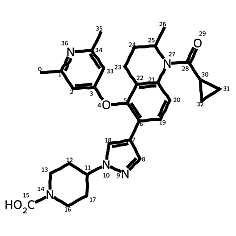 Cc1cc(Oc2c(-c3cnn(C4CCN(C(=O)O)CC4)c3)ccc3c2CCC(C)N3C(=O)C2CC2)cc(C)n1